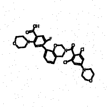 O=C(O)c1cc(F)c(-c2cccc3c2OCN(C(=O)c2c(Cl)cc(N4CCOCC4)cc2Cl)C3)cc1N1CCOCC1